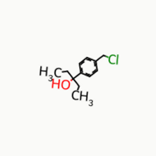 CCC(O)(CC)c1ccc(CCl)cc1